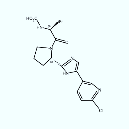 CC(C)[C@H](NC(=O)O)C(=O)N1CCC[C@H]1c1ncc(-c2ccc(Cl)nc2)[nH]1